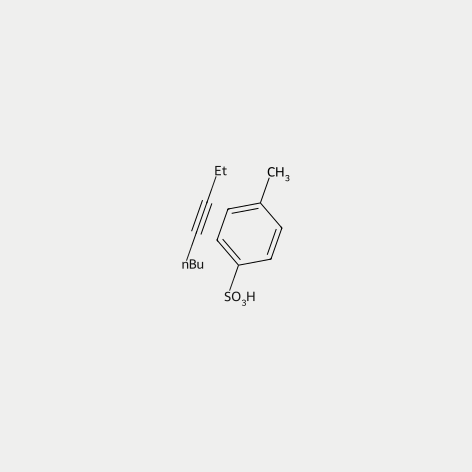 CCC#CCCCC.Cc1ccc(S(=O)(=O)O)cc1